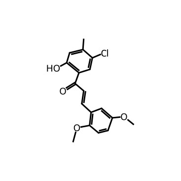 COc1ccc(OC)c(C=CC(=O)c2cc(Cl)c(C)cc2O)c1